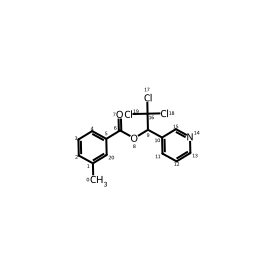 Cc1cccc(C(=O)OC(c2cccnc2)C(Cl)(Cl)Cl)c1